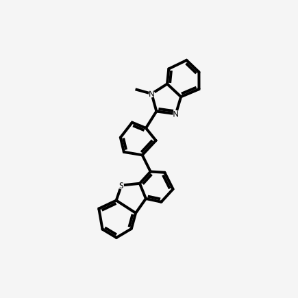 Cn1c(-c2cccc(-c3cccc4c3sc3ccccc34)c2)nc2ccccc21